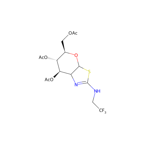 CC(=O)OC[C@H]1OC2SC(NCC(F)(F)F)=NC2[C@@H](OC(C)=O)[C@@H]1OC(C)=O